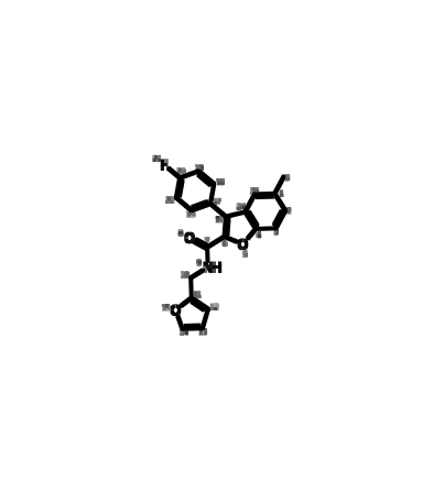 Cc1ccc2oc(C(=O)NCc3ccco3)c(-c3ccc(F)cc3)c2c1